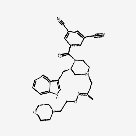 CC(CN1CCN(C(=O)c2cc(C#N)cc(C#N)c2)[C@H](Cc2c[nH]c3ccccc23)C1)=NOCCN1CCOCC1